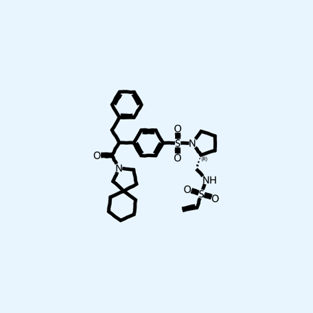 C=CS(=O)(=O)NC[C@H]1CCCN1S(=O)(=O)c1ccc(C(Cc2ccccc2)C(=O)N2CCC3(CCCCC3)C2)cc1